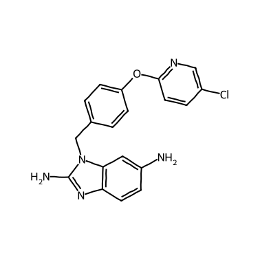 Nc1ccc2nc(N)n(Cc3ccc(Oc4ccc(Cl)cn4)cc3)c2c1